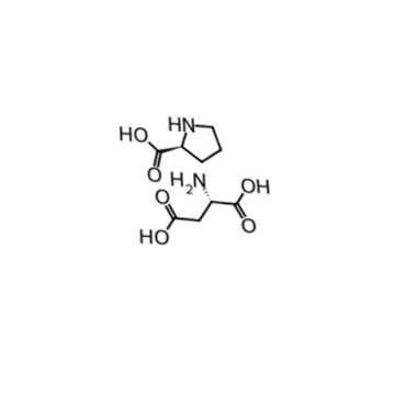 N[C@@H](CC(=O)O)C(=O)O.O=C(O)[C@@H]1CCCN1